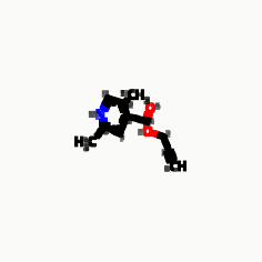 C#CCOC(=O)c1cc(C)ncc1C